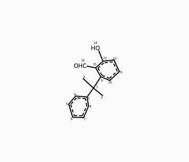 CC(C)(c1ccccc1)c1cccc(O)c1C=O